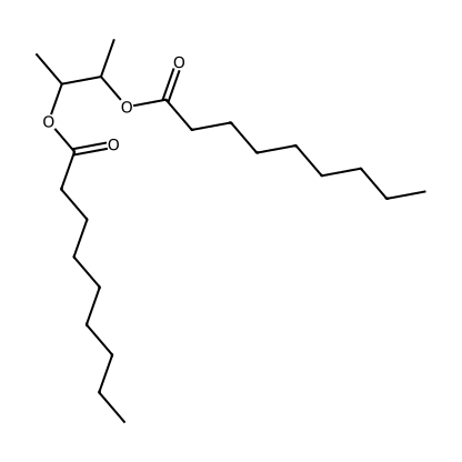 CCCCCCCCC(=O)OC(C)C(C)OC(=O)CCCCCCCC